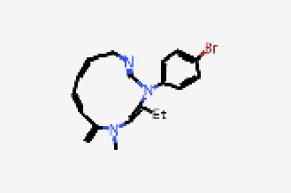 C=C1/C=C\C=C/C/N=C/N(c2ccc(Br)cc2)/C(CC)=C\N1C